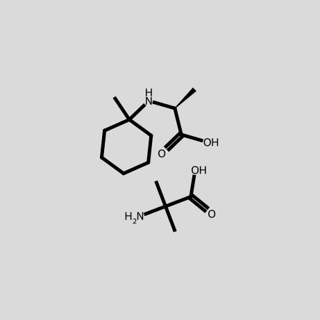 CC(C)(N)C(=O)O.C[C@H](NC1(C)CCCCC1)C(=O)O